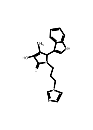 CC1=C(O)C(=O)N(CCCn2ccnc2)C1c1c[nH]c2ccccc12